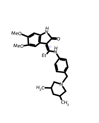 CC/C(Nc1ccc(CN2CC(C)CC(C)C2)cc1)=C1/C(=O)Nc2cc(OC)c(OC)cc21